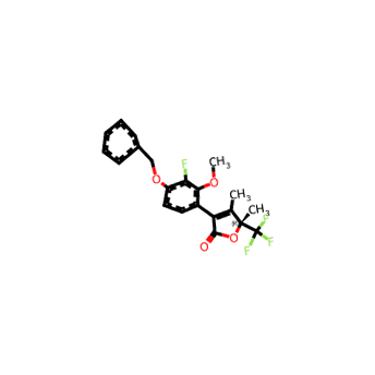 COc1c(C2=C(C)[C@](C)(C(F)(F)F)OC2=O)ccc(OCc2ccccc2)c1F